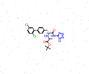 CC(N[C@H](Cc1ccc(-c2cc(Cl)ccc2Cl)cc1)C(=O)Nc1nnn[nH]1)C(=O)OC(C)(C)C